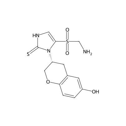 NCS(=O)(=O)c1c[nH]c(=S)n1[C@H]1COc2ccc(O)cc2C1